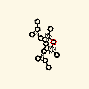 c1ccc(-c2ccc3c(c2)c2ccccc2n3-c2ccc(-c3cccc(-c4ccc(-n5c6ccccc6c6cc(-c7ccccc7)ccc65)cc4-c4nc(-c5ccccc5)nc(-c5ccccc5)n4)c3)c(-c3nc(-c4ccccc4)nc(-c4ccccc4)n3)c2)cc1